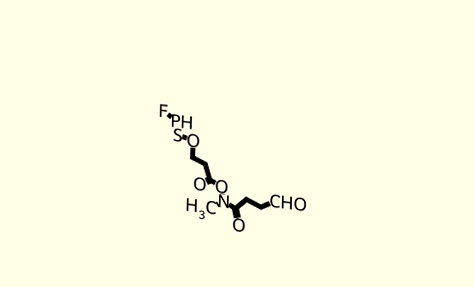 CN(OC(=O)CCOSPF)C(=O)CCC=O